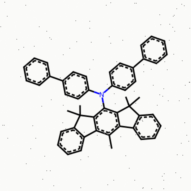 Cc1c2c(c(N(c3ccc(-c4ccccc4)cc3)c3ccc(-c4ccccc4)cc3)c3c1-c1ccccc1C3(C)C)C(C)(C)c1ccccc1-2